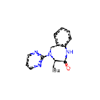 CCC(C)C1C(=O)Nc2ccccc2CN1c1ncccn1